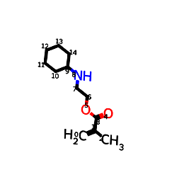 C=C(C)C(=O)OCCNC1CCCCC1